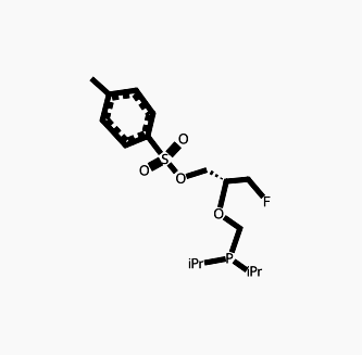 Cc1ccc(S(=O)(=O)OC[C@H](CF)OCP(C(C)C)C(C)C)cc1